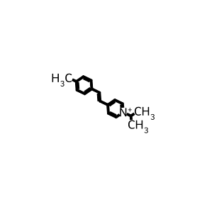 Cc1ccc(C=Cc2cc[n+](C(C)C)cc2)cc1